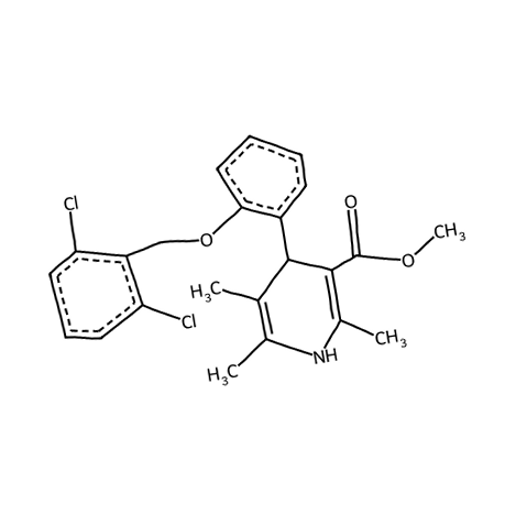 COC(=O)C1=C(C)NC(C)=C(C)C1c1ccccc1OCc1c(Cl)cccc1Cl